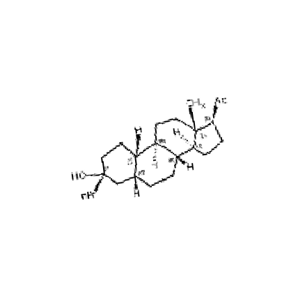 CCC[C@@]1(O)CC[C@H]2[C@H](CC[C@@H]3[C@@H]2CC[C@]2(C)[C@@H](C(C)=O)CC[C@@H]32)C1